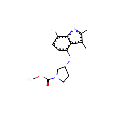 Cc1[nH]c2c(C#N)ccc(N[C@H]3CCN(C(=O)OC(C)(C)C)C3)c2c1C